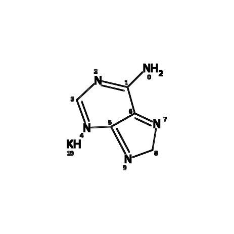 Nc1ncnc2c1=NCN=2.[KH]